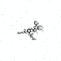 CCC(C)COC(=O)Oc1ccc(C[C@H](N)C(=O)O[C@@H](C)C(C)OC(=O)CC(C)C)cc1OC(=O)OCC(C)CC